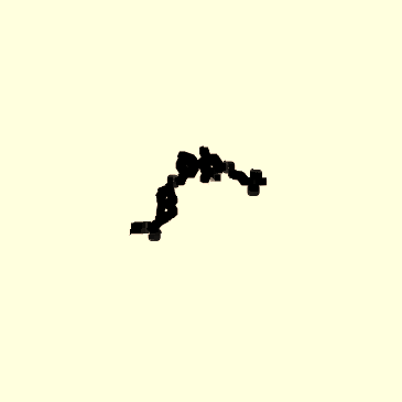 Cc1cc(OCCCS(C)(=O)=O)nc(C)c1-c1cccc(COc2ccc3c(c2)CC2C(C(=O)O)C32)c1